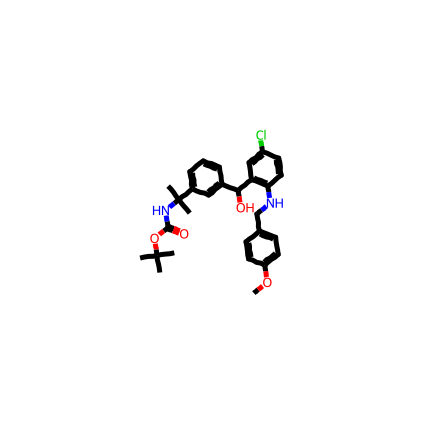 COc1ccc(CNc2ccc(Cl)cc2C(O)c2cccc(C(C)(C)NC(=O)OC(C)(C)C)c2)cc1